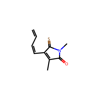 C=C/C=C\C1=C(C)C(=O)N(C)C1=S